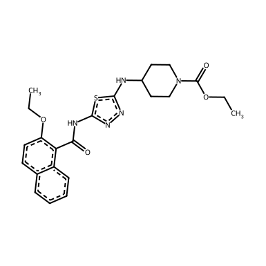 CCOC(=O)N1CCC(Nc2nnc(NC(=O)c3c(OCC)ccc4ccccc34)s2)CC1